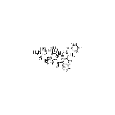 NC(=O)C1=C(O)[C@@H](N)[C@@H]2C[C@H]3C(=C(O)[C@]2(O)C1=O)C(=O)c1c(c(N)cc2ncoc12)[C@@H]3CSCc1ccccc1